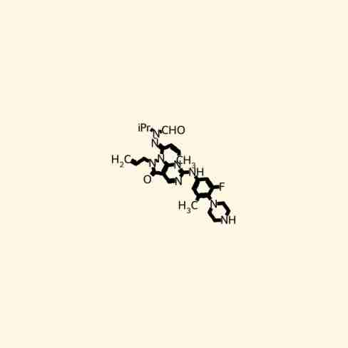 C=CCn1c(=O)c2cnc(Nc3cc(C)c(N4CCNCC4)c(F)c3)nc2n1C(/C=C\C)=N/N(C=O)C(C)C